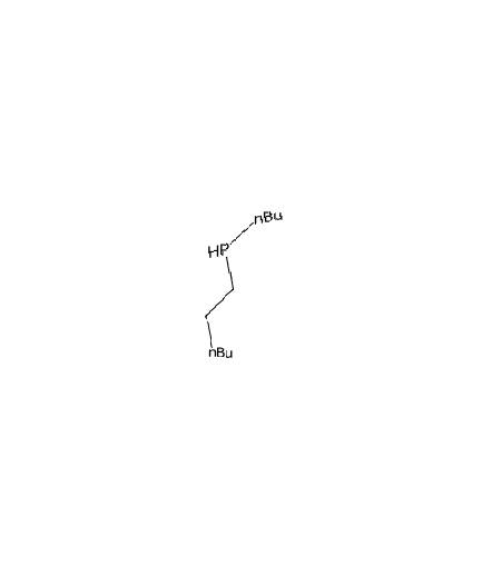 CCCCCCPCCCC